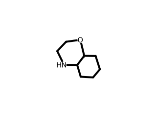 C1CCC2NCCO[C]2C1